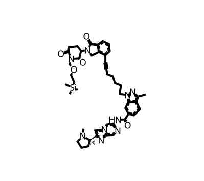 Cc1nn(CCCCCC#Cc2cccc3c2CN(C2CCC(=O)N(COCC[Si](C)(C)C)C2=O)C3=O)c2cc(C(=O)Nc3cn4cc([C@H]5CCCN5C)nc4cn3)ccc12